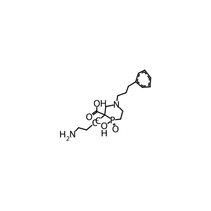 NCCCCC1(C(=O)O)CN(CCCc2ccccc2)CCP1(=O)O